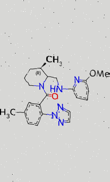 COc1cccc(NCC2[C@H](C)CCCN2C(=O)c2cc(C)ccc2-n2nccn2)n1